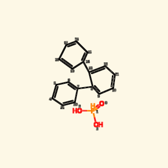 O=[PH](O)O.c1ccc(-c2ccccc2-c2ccccc2)cc1